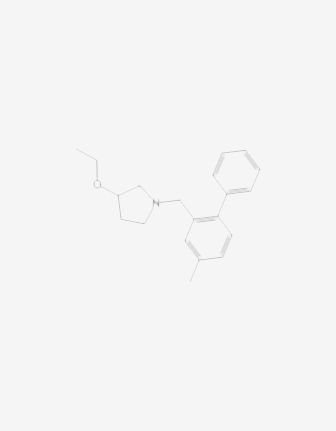 CCOC1CCN(Cc2cc(C)ccc2-c2ccccc2)C1